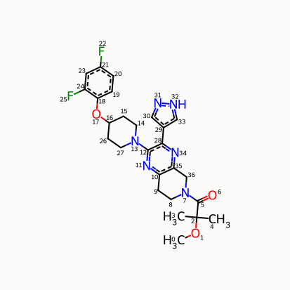 COC(C)(C)C(=O)N1CCc2nc(N3CCC(Oc4ccc(F)cc4F)CC3)c(-c3cn[nH]c3)nc2C1